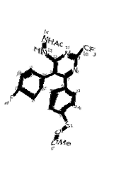 COOSc1ccc(-c2nc(C(F)(F)F)nc(NNC(C)=O)c2-c2ccc(F)cc2)cc1